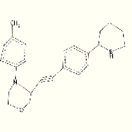 Cc1ccc(N2CCOCC2C#Cc2ccc(C3BCCCC3)cc2)cc1